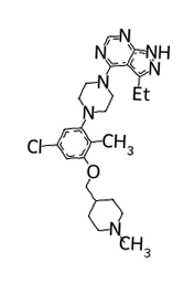 CCc1n[nH]c2ncnc(N3CCN(c4cc(Cl)cc(OCC5CCN(C)CC5)c4C)CC3)c12